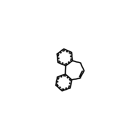 [C]1=CCc2ccccc2-c2ccccc21